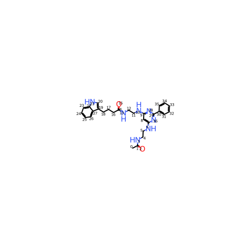 CC(=O)NCCNc1cc(NCCNC(=O)CCCc2c[nH]c3ccccc23)nc(-c2ccccc2)n1